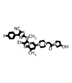 CCc1nc2c(C)cc(N3CCN(CC(=O)N4CCC(O)C4)CC3)cn2c1N(C)c1nc(-c2ccc(F)cc2)c(C#N)s1